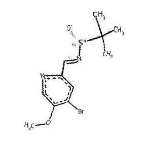 COc1cnc(/C=N/[S@+]([O-])C(C)(C)C)cc1Br